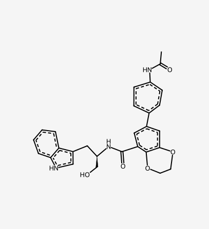 CC(=O)Nc1ccc(-c2cc3c(c(C(=O)N[C@@H](CO)Cc4c[nH]c5ccccc45)c2)OCCO3)cc1